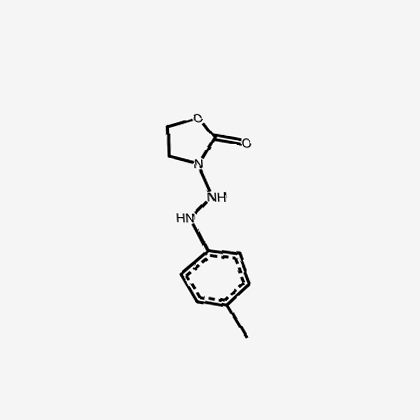 Cc1ccc(NNN2CCOC2=O)cc1